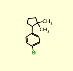 CC1(C)CCCC1c1ccc(Br)cc1